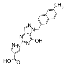 Cc1ccc2cc(Cn3ncc4nc(-n5cc(C(=O)O)cn5)nc(O)c43)ccc2c1